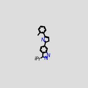 Cc1ccccc1C1=CCC(c2ccc3c(c2)N=NC3C(C)C)=N1